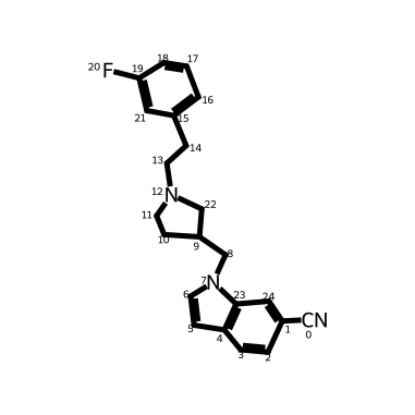 N#Cc1ccc2ccn(CC3CCN(CCc4cccc(F)c4)C3)c2c1